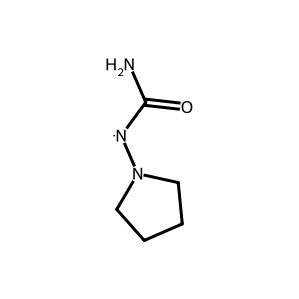 NC(=O)[N]N1CCCC1